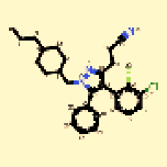 CCCC1CCC(Cn2nc(CCC#N)c(-c3cccc(Cl)c3F)c2-c2ccccc2)CC1